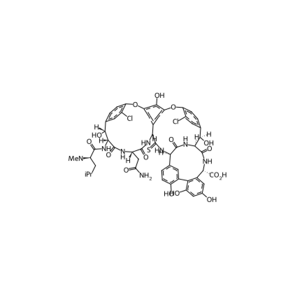 CN[C@H](CC(C)C)C(=O)N[C@H]1C(=O)N[C@@H](CC(N)=O)C(=O)N[C@H]2C(=S)N[C@H]3C(=O)N[C@H](C(=O)N[C@H](C(=O)O)c4cc(O)cc(O)c4-c4cc3ccc4O)[C@H](O)c3ccc(c(Cl)c3)Oc3cc2cc(c3O)Oc2ccc(cc2Cl)[C@H]1O